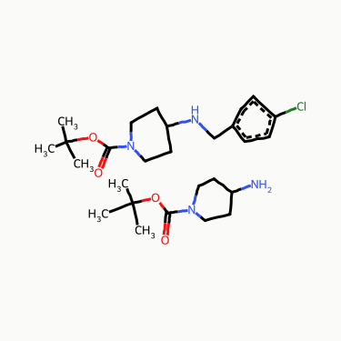 CC(C)(C)OC(=O)N1CCC(N)CC1.CC(C)(C)OC(=O)N1CCC(NCc2ccc(Cl)cc2)CC1